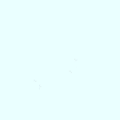 COc1ccc(OC)c(-c2cc(-c3ccc4[nH]ncc4c3)nc(=O)[nH]2)c1